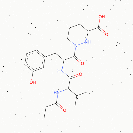 CCC(=O)NC(C(=O)NC(Cc1cccc(O)c1)C(=O)N1CCCC(C(=O)O)N1)C(C)C